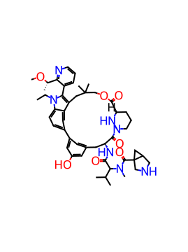 CCn1c(-c2cccnc2[C@H](C)OC)c2c3cc(ccc31)-c1cc(O)cc(c1)C[C@H](NC(=O)C(C(C)C)N(C)C(=O)C13CNCC1C3)C(=O)N1CCC[C@H](N1)C(=O)OCC(C)(C)C2